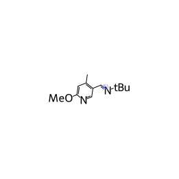 COc1cc(C)c(/C=N/C(C)(C)C)cn1